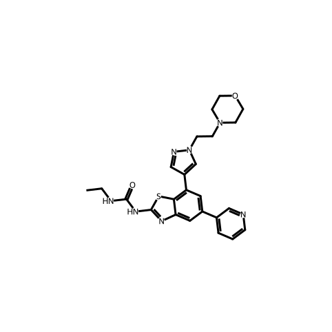 CCNC(=O)Nc1nc2cc(-c3cccnc3)cc(-c3cnn(CCN4CCOCC4)c3)c2s1